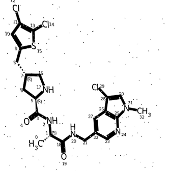 C[C@H](NC(=O)[C@H]1C[C@H](Cc2cc(Cl)c(Cl)s2)CN1)C(=O)NCc1cnc2c(c1)c(Cl)cn2C